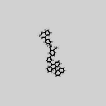 N=C1C=CC(c2cccc(-c3c4ccccc4c(-c4cccc5ccccc45)c4ccccc34)c2)=C/C1=N/Nc1ccc(-c2cncc3ccccc23)cc1